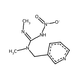 CN=C(N[N+](=O)[O-])N(C)Cc1cccnc1